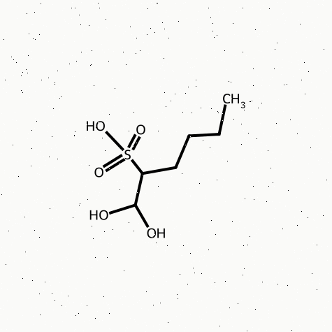 CCCCC(C(O)O)S(=O)(=O)O